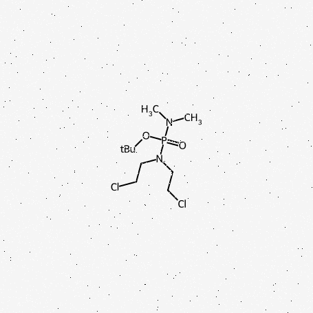 CN(C)P(=O)(OC(C)(C)C)N(CCCl)CCCl